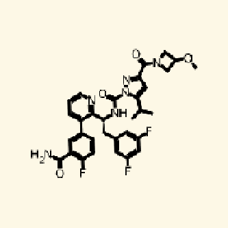 COC1CN(C(=O)c2cc(C(C)C)n(C(=O)N[C@@H](Cc3cc(F)cc(F)c3)c3ncccc3-c3ccc(F)c(C(N)=O)c3)n2)C1